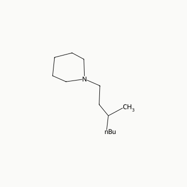 CCCCC(C)CCN1CCCCC1